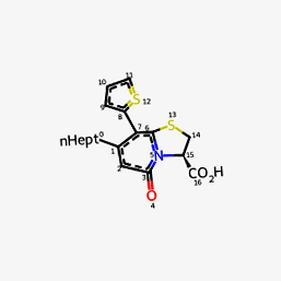 CCCCCCCc1cc(=O)n2c(c1-c1cccs1)SC[C@H]2C(=O)O